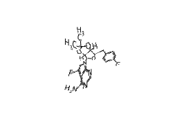 CC1(C)O[C@@H]2[C@H](O1)[C@@H](Cc1ccc(F)cc1)O[C@H]2n1cc(F)c2c(N)ncnc21